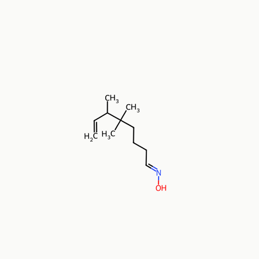 C=CC(C)C(C)(C)CCCC=NO